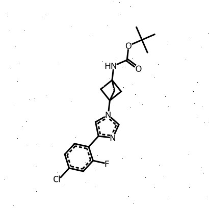 CC(C)(C)OC(=O)NC12CC(n3cnc(-c4ccc(Cl)cc4F)c3)(C1)C2